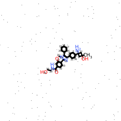 CC1(O)CC(N)(c2ccc(-c3nc4n(c3-c3ccccc3)COc3cc(C(=O)NCCO)ccc3-4)cc2)C1